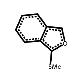 CSc1occ2ccccc12